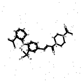 CC(=O)N1CCN(C(=O)C=Cc2ccc(Sc3ccccc3C(C)C)c(C(F)(F)F)c2)CC1